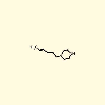 [CH2]/C=C/CCCN1CCNCC1